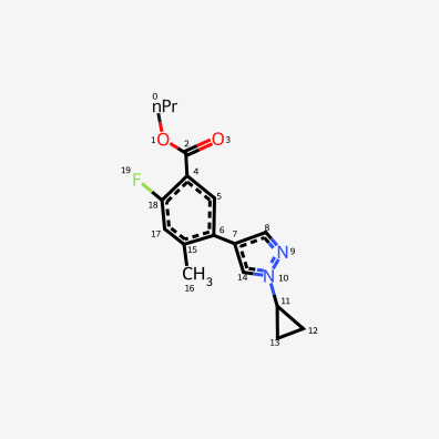 CCCOC(=O)c1cc(-c2cnn(C3CC3)c2)c(C)cc1F